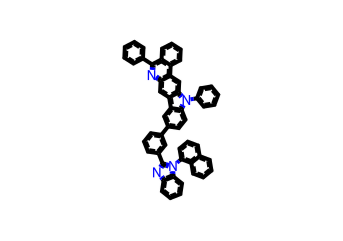 c1ccc(-c2nc3cc4c5cc(-c6cccc(-c7nc8ccccc8n7-c7cccc8ccccc78)c6)ccc5n(-c5ccccc5)c4cc3c3ccccc23)cc1